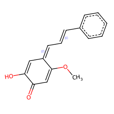 COC1=CC(=O)C(O)=C/C1=C/C=C/c1ccccc1